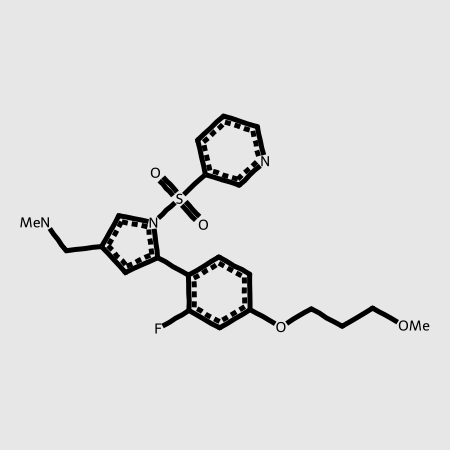 CNCc1cc(-c2ccc(OCCCOC)cc2F)n(S(=O)(=O)c2cccnc2)c1